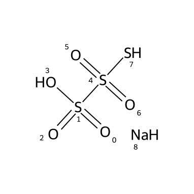 O=S(=O)(O)S(=O)(=O)S.[NaH]